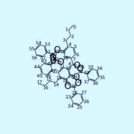 CCCCc1ccc(C(=O)c2ccc(CCCC)c(OC(=O)c3ccccc3)c2OC(=O)c2ccccc2)c(OC(=O)c2ccccc2)c1OC(=O)c1ccccc1